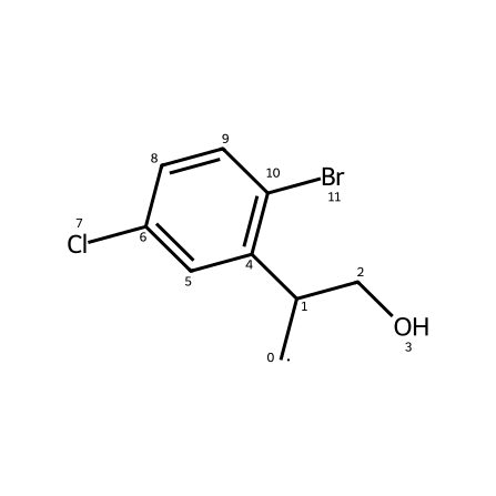 [CH2]C(CO)c1cc(Cl)ccc1Br